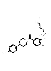 C=C(c1ccc(C)c(NS(=O)(=O)CCCNC(C)C)c1)N1CCC(c2ccc(C#N)cc2)CC1